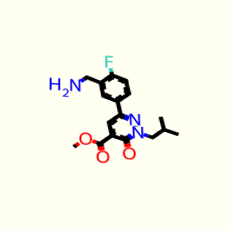 COC(=O)c1cc(-c2ccc(F)c(CN)c2)nn(CC(C)C)c1=O